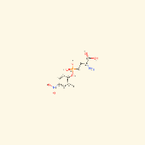 Cc1cc([N+](=O)[O-])ccc1OP(=O)(O)CCC(N)C(=O)O